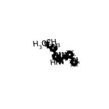 CN(C)Cc1cncc(-c2ccc3[nH]nc(-c4cc5c(-c6ccccn6)cccc5[nH]4)c3n2)c1